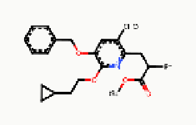 CC(C)C(Cc1nc(OCCC2CC2)c(OCc2ccccc2)cc1C=O)C(=O)OC(C)(C)C